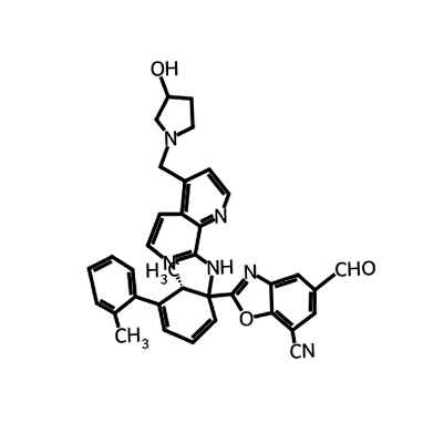 Cc1ccccc1C1=CC=CC(Nc2nccc3c(CN4CCC(O)C4)ccnc23)(c2nc3cc(C=O)cc(C#N)c3o2)[C@H]1C